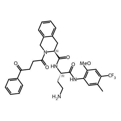 COc1cc(C(F)(F)F)c(C)cc1NC(=O)[C@H](CCN)NC(=O)[C@@H]1Cc2ccccc2CN1C(=O)CCC(=O)c1ccccc1